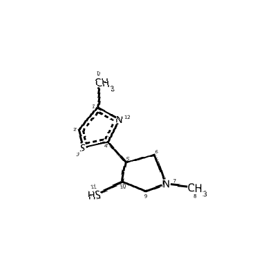 Cc1csc(C2CN(C)CC2S)n1